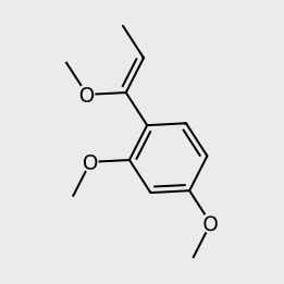 CC=C(OC)c1ccc(OC)cc1OC